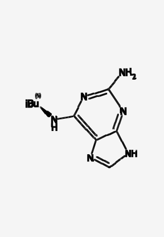 CC[C@H](C)Nc1nc(N)nc2[nH]cnc12